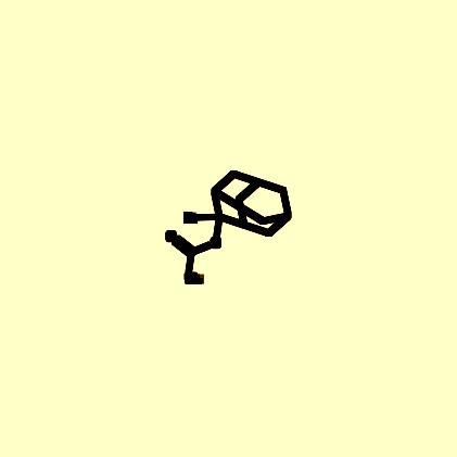 CCC1(OC(=O)C(C)(C)C)C2CC3CC(C2)CC1C3